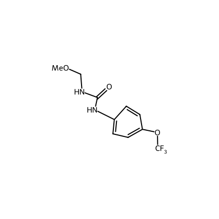 COCNC(=O)Nc1ccc(OC(F)(F)F)cc1